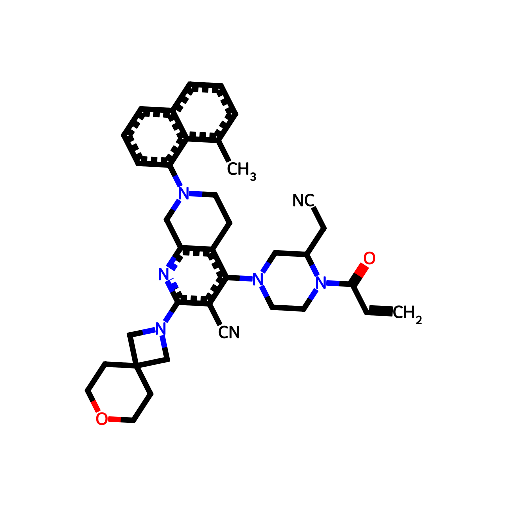 C=CC(=O)N1CCN(c2c(C#N)c(N3CC4(CCOCC4)C3)nc3c2CCN(c2cccc4cccc(C)c24)C3)CC1CC#N